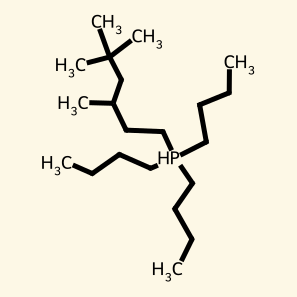 CCCC[PH](CCCC)(CCCC)CCC(C)CC(C)(C)C